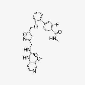 CNC(=O)c1ccc(-c2ccccc2OC[C@H]2CC(CNC(=O)Nc3ccncc3OC)=NO2)cc1F